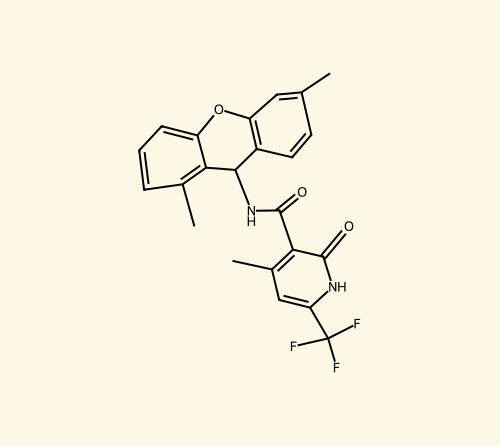 Cc1ccc2c(c1)Oc1cccc(C)c1C2NC(=O)c1c(C)cc(C(F)(F)F)[nH]c1=O